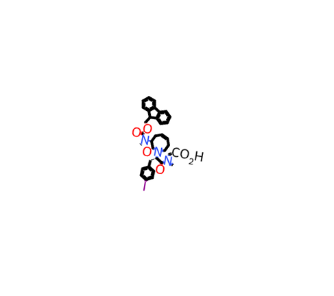 CN(CC(=O)O)C(=O)[C@H](Cc1ccc(I)cc1)N1CCC=CC[C@H](N(C)C(=O)OCC2c3ccccc3-c3ccccc32)C1=O